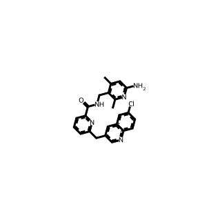 Cc1cc(N)nc(C)c1CNC(=O)c1cccc(Cc2cnc3ccc(Cl)cc3c2)n1